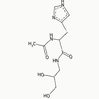 CC(=O)NC(Cc1c[nH]cn1)C(=O)NCC(O)CO